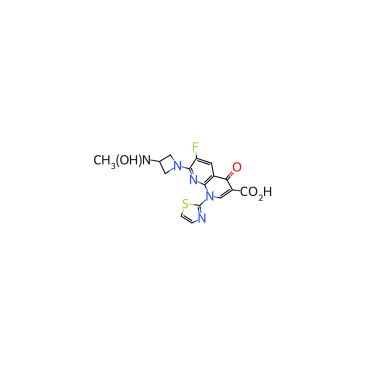 CN(O)C1CN(c2nc3c(cc2F)c(=O)c(C(=O)O)cn3-c2nccs2)C1